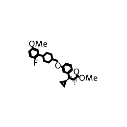 COC(=O)[C@H](C)[C@H](c1cccc(OCC2CCC(c3cc(OC)ccc3F)CC2)c1)C1CC1